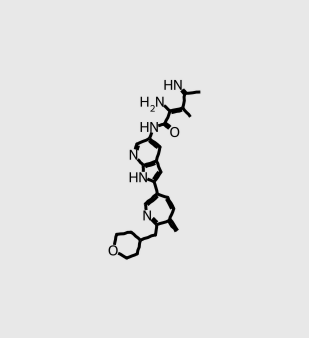 C=C1C=CC(c2cc3cc(NC(=O)/C(N)=C(\C)C(C)=N)cnc3[nH]2)=CN=C1CC1CCOCC1